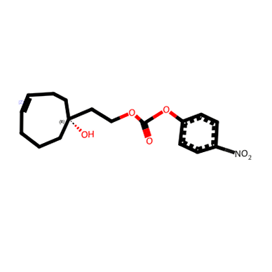 O=C(OCC[C@]1(O)CC/C=C\CCC1)Oc1ccc([N+](=O)[O-])cc1